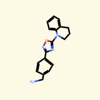 NCc1ccc(-c2noc(N3CCCc4ccccc43)n2)cc1